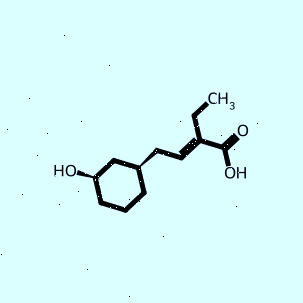 CC/C(=C\C[C@H]1CCC[C@@H](O)C1)C(=O)O